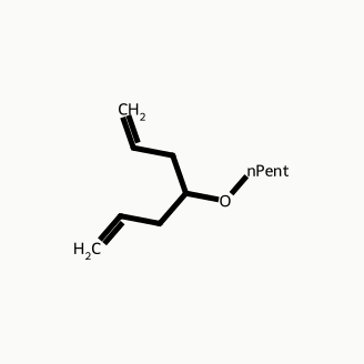 C=CCC(CC=C)OCCCCC